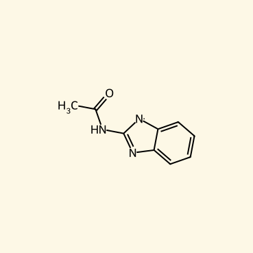 CC(=O)NC1=Nc2ccccc2[N]1